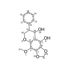 COc1c2c(c(O)c3c1OCC(c1ccccc1)C3O)OCO2